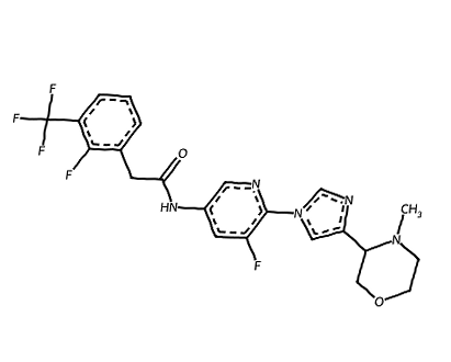 CN1CCOCC1c1cn(-c2ncc(NC(=O)Cc3cccc(C(F)(F)F)c3F)cc2F)cn1